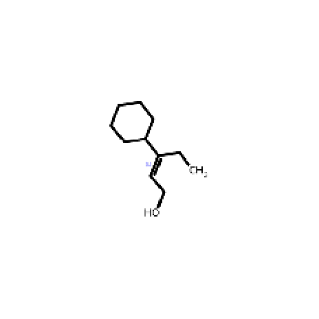 CC/C(=C\CO)C1CCCCC1